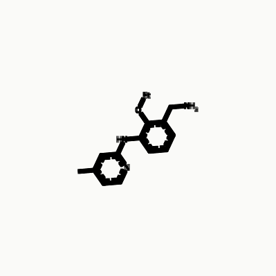 CCOc1c(CN)cccc1Nc1cc(C)ccn1